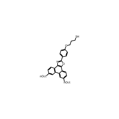 CCCCCCCCc1ccc2c(c1)c1cc(CCCCCCCC)ccc1c1oc(-c3ccc(OCCCS)cc3)nc21